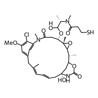 COc1cc2cc(c1Cl)N(C)C(=O)C[C@H](OC(O)[C@H](C)N(C)C(=O)CCS)[C@]1(C)OC1[C@H](C)C1C[C@](O)(C/C=C/C=C(\C)C2)NC(=O)O1